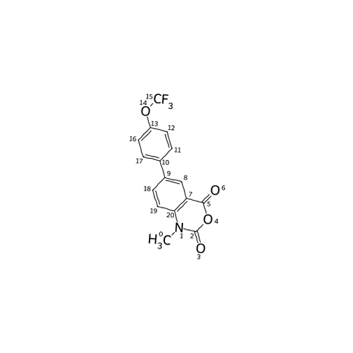 Cn1c(=O)oc(=O)c2cc(-c3ccc(OC(F)(F)F)cc3)ccc21